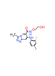 Cc1nnc2cc(Nc3ccc(I)cc3F)c(C(=O)NOCCO)cn12